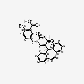 O=C(O)c1cc(Cn2cc(C3c4ccccc4C=Cc4ccccc43)c(=O)[nH]c2=O)ccc1Br